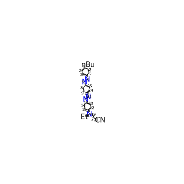 CCCCc1ccc(N=Nc2ccc(N=Nc3ccc(N(CC)CCC#N)cc3)cc2)cc1